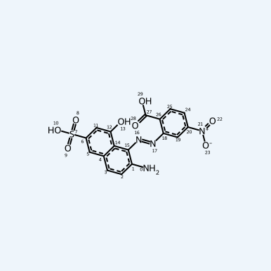 Nc1ccc2cc(S(=O)(=O)O)cc(O)c2c1N=Nc1cc([N+](=O)[O-])ccc1C(=O)O